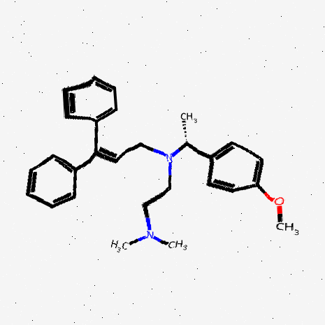 COc1ccc([C@@H](C)N(CC=C(c2ccccc2)c2ccccc2)CCN(C)C)cc1